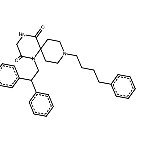 O=C1CNC(=O)C2(CCN(CCCCc3ccccc3)CC2)N1CC(c1ccccc1)c1ccccc1